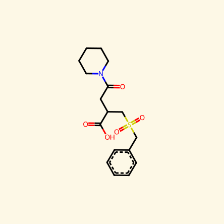 O=C(O)C(CC(=O)N1CCCCC1)CS(=O)(=O)Cc1ccccc1